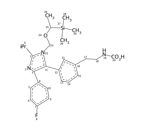 CC(C)c1nc(-c2ccc(F)cc2)c(-c2cccc(CCNC(=O)O)c2)n1COC(C)[Si](C)(C)C